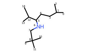 CC(C)CCC(NCC(C)(C)C)C(C)C